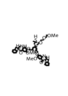 COCCOCCOCCN(CC(C)(C)S)c1cc(COc2cc3c(cc2OC)C(=O)N2c4ccccc4C[C@H]2C=N3)nc(COc2cc3c(cc2OC)C(=O)N2c4ccccc4C[C@H]2CN3)c1